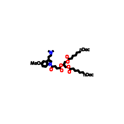 CCCCCCCCCCCCCCCC(=O)OCC(COC(=O)CCCCCCCCCCCCCCC)OC(=O)CCC(=O)n1cc(CCN(C)C)c2cc(OC)ccc21